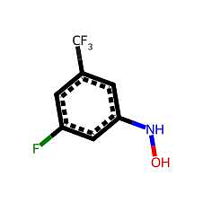 ONc1cc(F)cc(C(F)(F)F)c1